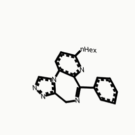 CCCCCCc1ccc2c(n1)C(c1ccccc1)=NCc1nncn1-2